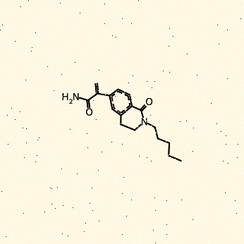 C=C(C(N)=O)c1ccc2c(c1)CCN(CCCCC)C2=O